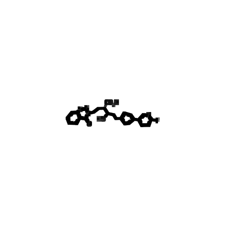 O=C(O)[C@@H](CCn1nnc2ccccc2c1=O)[C@H](O)CCc1ccc(-c2ccc(F)nc2)cc1